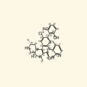 Cc1ccnc(C(C)C)c1-n1c(=O)c2c(c3cc(Cl)c(-c4c(O)cccc4F)nc31)N1C[C@@H](C)NC[C@@H]1CN2C